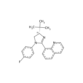 CC(C)(C)[C@H]1CN(c2ccc(F)cc2)C(c2cccc3cccnc23)=N1